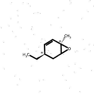 CC[C@H]1C=C[C@@]2(C)OC2C1